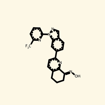 ON=C1CCCc2ccc(-c3ccc4cnn(-c5cccc(C(F)(F)F)n5)c4c3)nc21